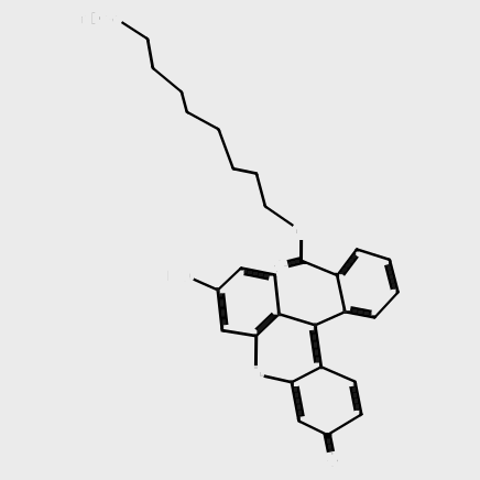 CCCCCCCCCCCCCCCCCCOC(=O)c1ccccc1-c1c2ccc(=O)cc-2oc2cc(O)ccc12